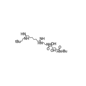 CCC(C)NC(=O)CCC(O)C(O)C(=O)NCCNC(=N)CCCCCCC(=N)NCCC(C)(C)C